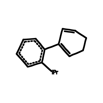 CC(C)c1ccccc1C1=CCCC=C1